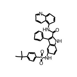 CC(C)(C)c1ccc(S(=O)(=O)Nc2ccc3[nH]c(C(=O)Nc4cccc5ncccc45)c(-c4ccccc4)c3c2)cc1